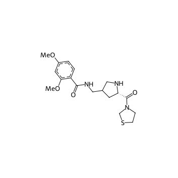 COc1ccc(C(=O)NCC2CN[C@H](C(=O)N3CCSC3)C2)c(OC)c1